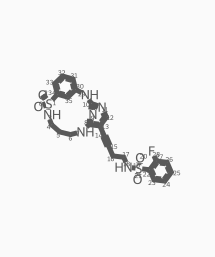 O=S1(=O)NCCCNc2nc(ncc2C#CCCNS(=O)(=O)c2ccccc2F)Nc2cccc1c2